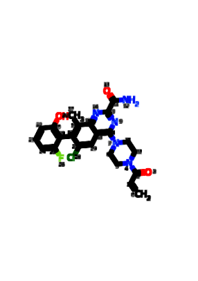 C=CC(=O)N1CCN(c2nc(C(N)=O)nc3c(C)c(-c4c(O)cccc4F)c(Cl)cc23)CC1